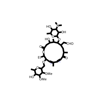 CCC1OC(=O)CC(O)C(C)C(OC2OC(C)C(O)C(N(C)C)C2O)C(CC=O)CC(C)C(=O)/C=C\C(C)=C/C1OCC1OC(C)C(O)C(OC)C1OC